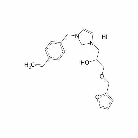 C=Cc1ccc(CN2C=CN(CC(O)COCc3ccco3)C2)cc1.I